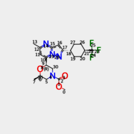 COC(=O)N1C[C@@H](C)O[C@@H](c2cc(C)nc3cc([C@H]4CC[C@H](C(F)(F)F)CC4)nn23)C1